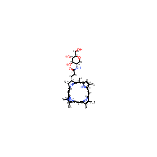 CCC1=C(C)c2cc3[nH]c(cc4nc(c(C)c5cc(C)c(cc1n2)[nH]5)[C@@H](CCC(=O)N[C@H]1CO[C@H](CO)[C@@H](O)[C@@H]1O)[C@@H]4C)c(C)c3CC